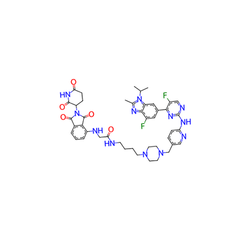 Cc1nc2c(F)cc(-c3nc(Nc4ccc(CN5CCN(CCCCNC(=O)CNc6cccc7c6C(=O)N(C6CCC(=O)NC6=O)C7=O)CC5)cn4)ncc3F)cc2n1C(C)C